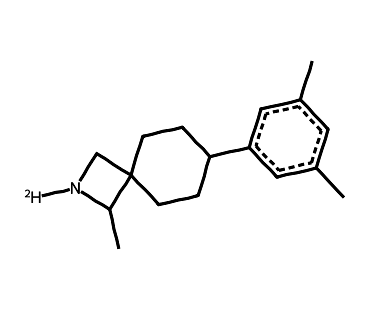 [2H]N1CC2(CCC(c3cc(C)cc(C)c3)CC2)C1C